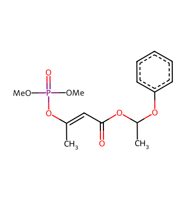 COP(=O)(OC)O/C(C)=C/C(=O)OC(C)Oc1ccccc1